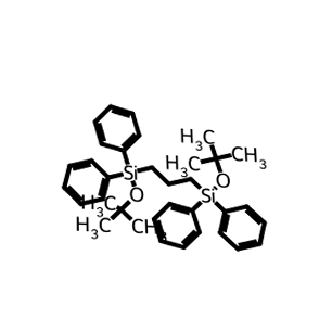 CC(C)(C)O[Si](CCC[Si](OC(C)(C)C)(c1ccccc1)c1ccccc1)(c1ccccc1)c1ccccc1